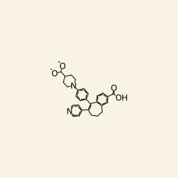 COC(OC)C1CCN(c2ccc(C3=C(c4ccncc4)CCCc4cc(C(=O)O)ccc43)cc2)CC1